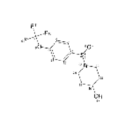 [O-][S+](c1ccc(OC(F)(F)F)cc1)N1CCC(O)CC1